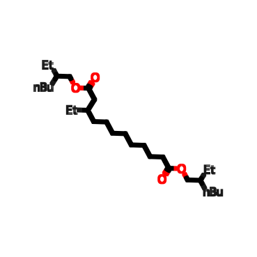 CCCCC(CC)COC(=O)CCCCCCCCC(CC)CC(=O)OCC(CC)CCCC